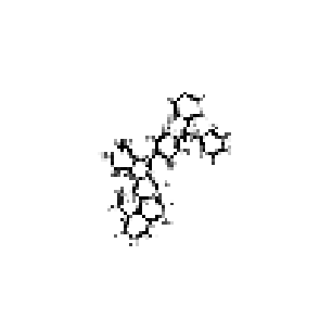 c1ccc(N(c2ccccc2)c2ccc(-n3c4cnccc4c4c5ccc6cccc7ccc(cc43)c5c76)cc2)cc1